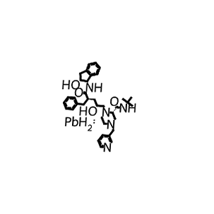 CC(C)(C)NC(=O)[C@@H]1CN(Cc2cccnc2)CCN1C[C@@H](O)C[C@@H](Cc1ccccc1)C(=O)N[C@H]1c2ccccc2C[C@H]1O.[PbH2]